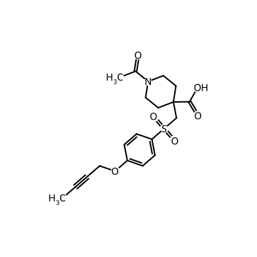 CC#CCOc1ccc(S(=O)(=O)CC2(C(=O)O)CCN(C(C)=O)CC2)cc1